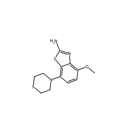 COc1ccc(N2CCSCC2)c2sc(N)nc12